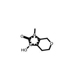 Cn1c2c(n(O)c1=O)CCOC2